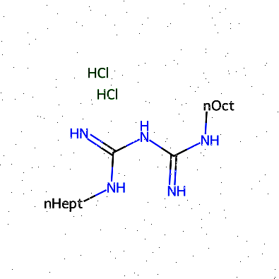 CCCCCCCCNC(=N)NC(=N)NCCCCCCC.Cl.Cl